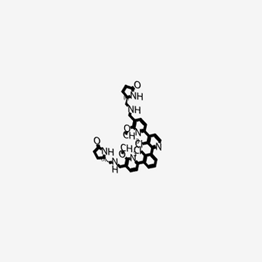 COc1nc(-c2cccc(-c3nccc(-c4ccc(CNC[C@H]5CCC(=O)N5)c(OC)n4)c3Cl)c2Cl)ccc1CNC[C@@H]1CCC(=O)N1